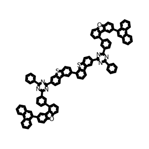 c1ccc(-c2nc(-c3cccc(-c4cccc5oc6ccc(-c7cc8ccccc8c8ccccc78)cc6c45)c3)nc(-c3ccc4c(c3)sc3ccc(-c5cccc6c5sc5ccc(-c7nc(-c8ccccc8)nc(-c8cccc(-c9cccc%10oc%11ccc(-c%12cc%13ccccc%13c%13ccccc%12%13)cc%11c9%10)c8)n7)cc56)cc34)n2)cc1